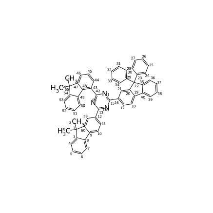 CC1(C)c2ccccc2-c2ccc(-c3nc(-c4ccc5c(c4)C(c4ccccc4)(c4ccccc4)c4ccccc4-5)nc(-c4cccc5c4-c4ccccc4C5(C)C)n3)cc21